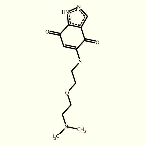 CN(C)CCOCCSC1=CC(=O)c2[nH]ncc2C1=O